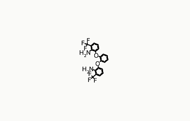 Nc1c(Oc2ccccc2Oc2cccc(C(F)(F)F)c2N)cccc1C(F)(F)F